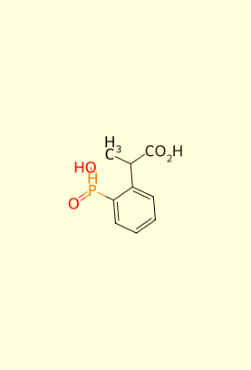 CC(C(=O)O)c1ccccc1[PH](=O)O